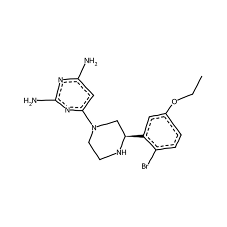 CCOc1ccc(Br)c([C@@H]2CN(c3cc(N)nc(N)n3)CCN2)c1